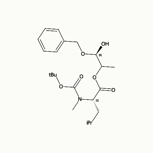 CC(C)C[C@@H](C(=O)OC(C)[C@H](O)OCc1ccccc1)N(C)C(=O)OC(C)(C)C